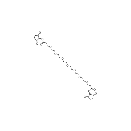 O=C(CCOCCOCCOCCOCCOCCOCCOCCC(=O)ON1C(=O)CCC1=O)ON1C(=O)CCC1=O